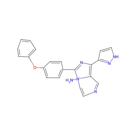 N[N+]12C=CN=CC1=C(c1cc[nH]n1)N=C2c1ccc(Oc2ccccc2)cc1